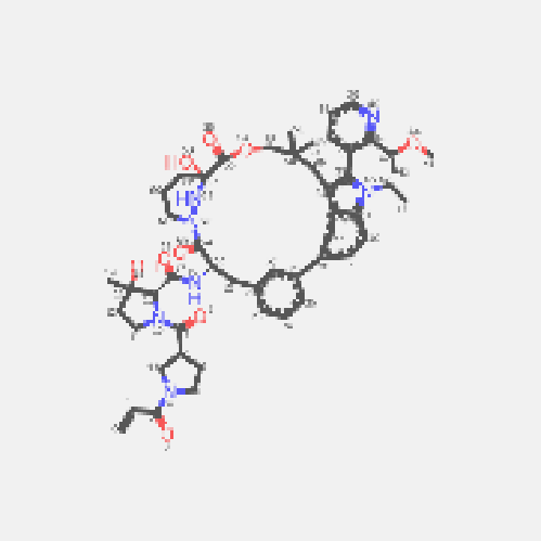 C=CC(=O)N1CC[C@H](C(=O)N2CCC(C)(O)[C@H]2C(=O)N[C@H]2Cc3cccc(c3)-c3ccc4c(c3)c(c(-c3cccnc3[C@H](C)OC)n4CC)CC(C)(C)COC(=O)[C@@]3(O)CCCN(N3)C2=O)C1